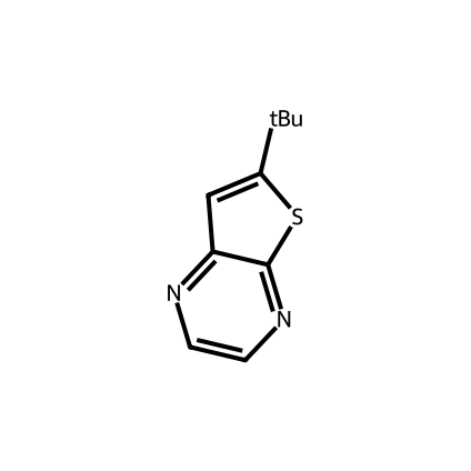 CC(C)(C)c1cc2nccnc2s1